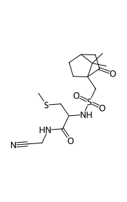 CSCC(NS(=O)(=O)CC12CCC(CC1=O)C2(C)C)C(=O)NCC#N